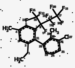 CCc1[c]c(C)cc(C(F)(C(F)(F)F)C(F)(F)C(F)(F)F)c1-c1cccc(Cl)c1C